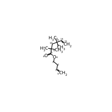 C=CCCOC(=O)C(C)(C)CC(C)(C)C=C